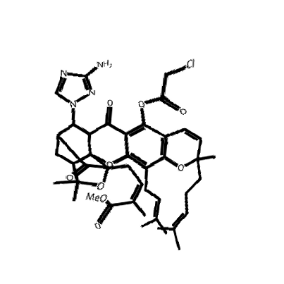 COC(=O)/C(C)=C\CC12OC(C)(C)C3CC(C1=O)C(n1cnc(N)n1)C1C(=O)c4c(OC(=O)CCl)c5c(c(CC=C(C)C)c4OC132)OC(C)(CCC=C(C)C)C=C5